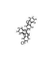 Clc1ccc2nc3n(-c4ccc5c(c4)oc4ccccc45)c4ccccc4n3c2c1